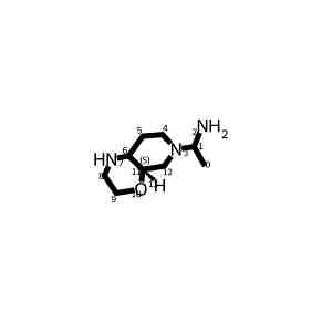 CC(N)N1CCC2NCCO[C@H]2C1